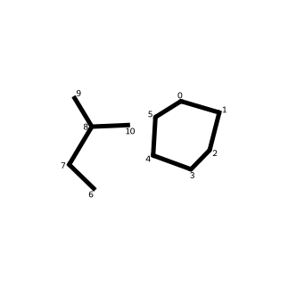 C1CCCCC1.CCC(C)C